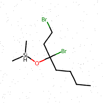 CCCCC(Br)(CCBr)O[SiH](C)C